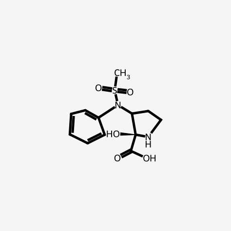 CS(=O)(=O)N(c1ccccc1)C1CCN[C@]1(O)C(=O)O